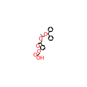 C[C@@H](COC(c1ccccc1)c1ccccc1)OCc1coc2c(OCC(=O)O)cccc12